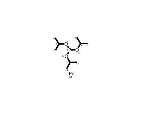 CC(C)OP(OC(C)C)OC(C)C.[Pd]